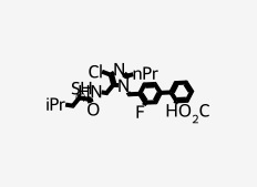 CCCc1nc(Cl)c(CNC(=O)[C@@H](S)CC(C)C)n1Cc1ccc(-c2ccccc2C(=O)O)cc1F